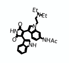 CCN(CC)CCn1cc(C2=C(c3c[nH]c4ccccc34)C(=O)NC2=O)c2ccc(NC(C)=O)cc21